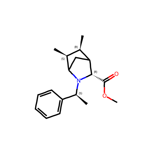 COC(=O)[C@H]1C2CC([C@@H](C)[C@H]2C)N1[C@@H](C)c1ccccc1